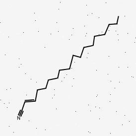 CCCCCCCCCCCCCCCC=CC#N